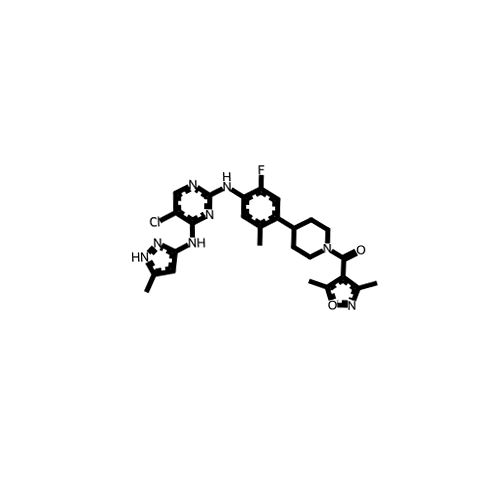 Cc1cc(Nc2nc(Nc3cc(C)c(C4CCN(C(=O)c5c(C)noc5C)CC4)cc3F)ncc2Cl)n[nH]1